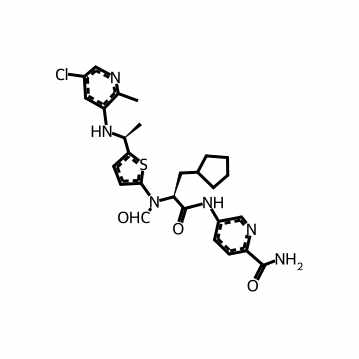 Cc1ncc(Cl)cc1N[C@@H](C)c1ccc(N(C=O)[C@@H](CC2CCCC2)C(=O)Nc2ccc(C(N)=O)nc2)s1